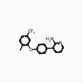 Cc1ccc(C(F)(F)F)cc1Oc1ccc(-c2cccnc2N)cc1